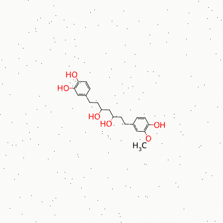 COc1cc([CH]CC(O)CC(O)CCc2ccc(O)c(O)c2)ccc1O